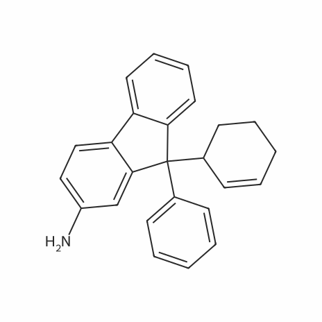 Nc1ccc2c(c1)C(c1ccccc1)(C1C=CCCC1)c1ccccc1-2